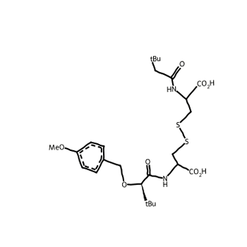 COc1ccc(CO[C@@H](C(=O)NC(CSSCC(NC(=O)CC(C)(C)C)C(=O)O)C(=O)O)C(C)(C)C)cc1